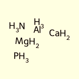 N.P.[AlH3].[CaH2].[MgH2]